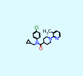 Cc1cccnc1N1CCC(C(=O)N(CC2CC2)c2ccc(Cl)cc2)CC1